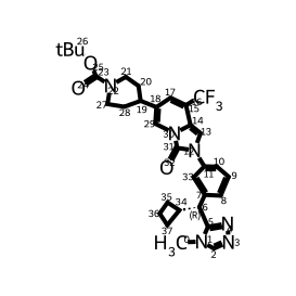 Cn1cnnc1[C@@H](c1cccc(-n2cc3c(C(F)(F)F)cc(C4CCN(C(=O)OC(C)(C)C)CC4)cn3c2=O)c1)C1CCC1